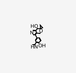 CC(=N)c1cc(-c2cncc3c2COC2(CC2)C3O)ccc1O